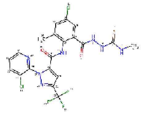 CNC(=S)NNC(=O)c1cc(Cl)cc(C)c1NC(=O)c1cc(C(F)(F)F)nn1-c1ncccc1Cl